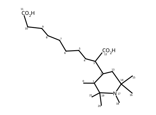 CC1C(C(CCCCCCCC(=O)O)C(=O)O)CC(C)(C)N(C)C1(C)C